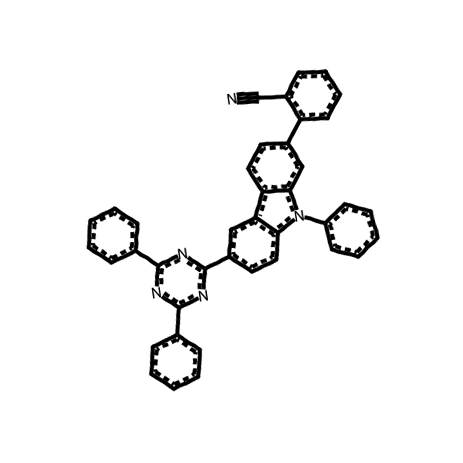 N#Cc1ccccc1-c1ccc2c3cc(-c4nc(-c5ccccc5)nc(-c5ccccc5)n4)ccc3n(-c3ccccc3)c2c1